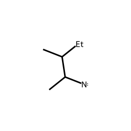 CCC(C)C(C)[N]